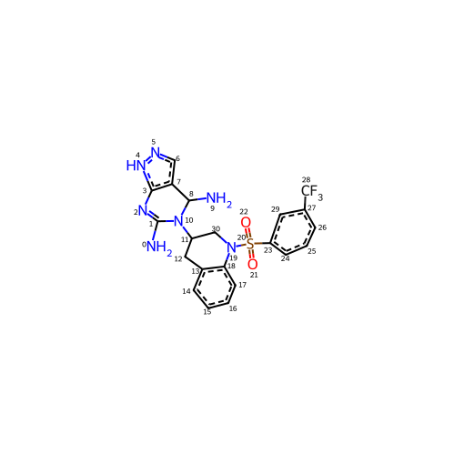 NC1=Nc2[nH]ncc2C(N)N1C1Cc2ccccc2N(S(=O)(=O)c2cccc(C(F)(F)F)c2)C1